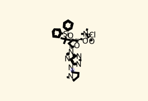 CN1CCC/C1=N\c1ncnc2c1ncn2[C@H]1C[C@H](O[Si](c2ccccc2)(c2ccccc2)C(C)(C)C)[C@@H](CO[P@@](=O)(Cl)N(C)C)O1